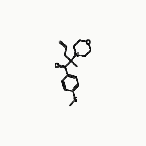 C=CCC(C)(C(=O)c1ccc(SC)cc1)N1CCOCC1